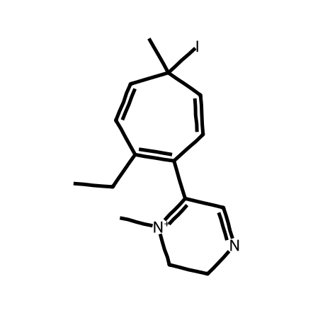 CCC1=C(C2=[N+](C)CCN=C2)C=CC(C)(I)C=C1